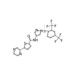 C[C@H](c1ccc(C(F)(F)F)cc1C(F)(F)F)n1cc(NC(=O)c2ccc(-c3cnccn3)s2)cn1